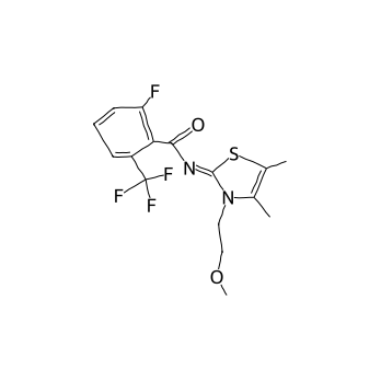 COCCn1c(C)c(C)s/c1=N\C(=O)c1c(F)cccc1C(F)(F)F